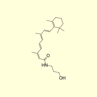 CC(C=CC1=C(C)CCCC1(C)C)=CC=C/C(C)=C\C(=O)NCCCO